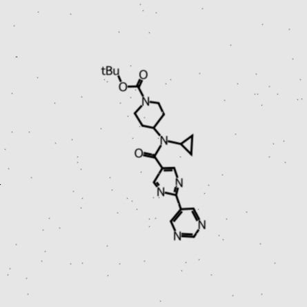 CC(C)(C)OC(=O)N1CCC(N(C(=O)c2cnc(-c3cncnc3)nc2)C2CC2)CC1